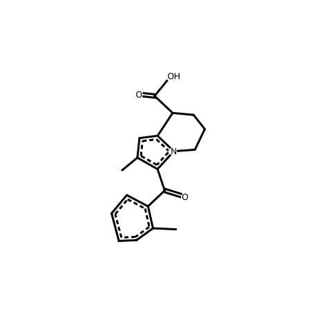 Cc1ccccc1C(=O)c1c(C)cc2n1CCCC2C(=O)O